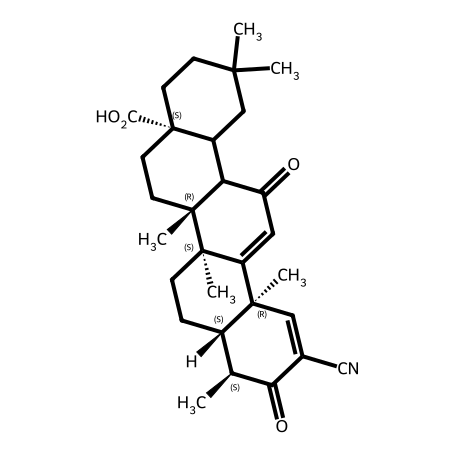 C[C@@H]1C(=O)C(C#N)=C[C@]2(C)C3=CC(=O)C4C5CC(C)(C)CC[C@]5(C(=O)O)CC[C@@]4(C)[C@]3(C)CC[C@@H]12